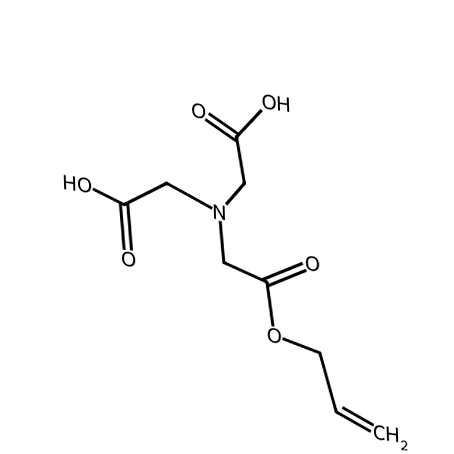 C=CCOC(=O)CN(CC(=O)O)CC(=O)O